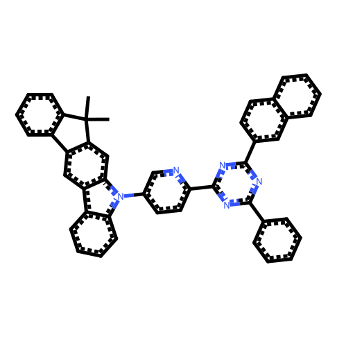 CC1(C)c2ccccc2-c2cc3c4ccccc4n(-c4ccc(-c5nc(-c6ccccc6)nc(-c6ccc7ccccc7c6)n5)nc4)c3cc21